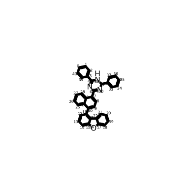 c1ccc(C2=NC(c3ccc(-c4cccc5oc6ccccc6c45)c4ccccc34)=NC(c3ccccc3)N2)cc1